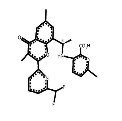 Cc1cc([C@@H](C)Nc2ccc(C)nc2C(=O)O)c2oc(-c3cccc(C(F)F)n3)c(C)c(=O)c2c1